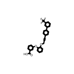 O=C(O)c1cccc(Oc2ccccc2OCC#Cc2ccc(-c3cccc(C(F)(F)F)c3)cc2)c1